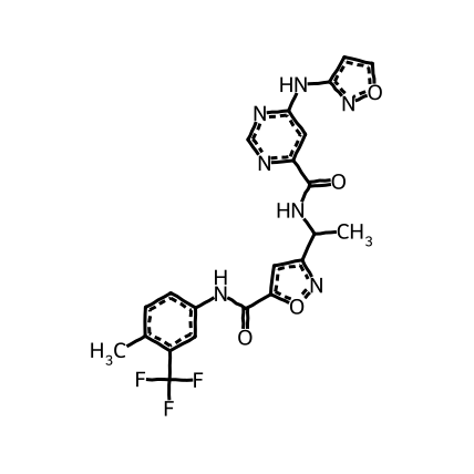 Cc1ccc(NC(=O)c2cc(C(C)NC(=O)c3cc(Nc4ccon4)ncn3)no2)cc1C(F)(F)F